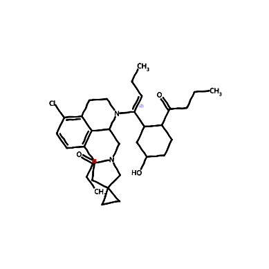 CC/C=C(/C1CC(O)CCC1C(=O)CCC)N1CCc2c(Cl)ccc(CCC)c2C1CN1CC2(CC2)CC1=O